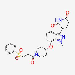 Cn1nc(C2CCC(=O)NC2=O)c2cccc(OC3CCN(C(=O)CCS(=O)(=O)c4ccccc4)CC3)c21